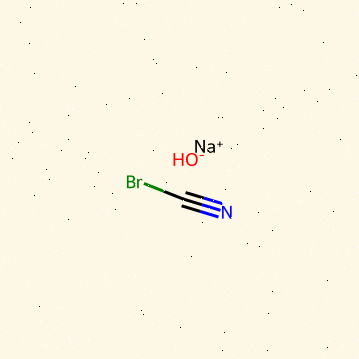 N#CBr.[Na+].[OH-]